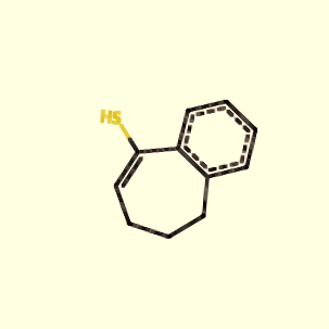 SC1=CCCCc2ccccc21